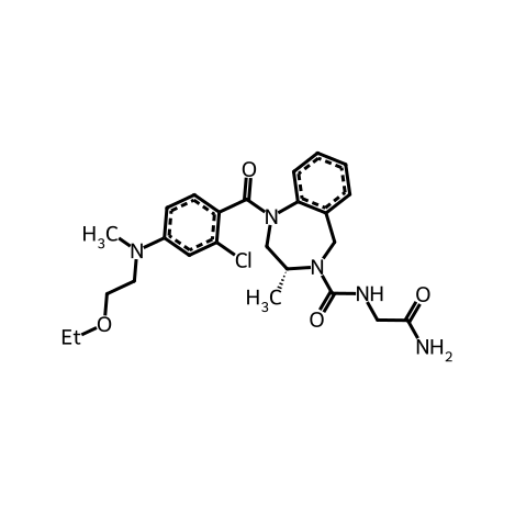 CCOCCN(C)c1ccc(C(=O)N2C[C@@H](C)N(C(=O)NCC(N)=O)Cc3ccccc32)c(Cl)c1